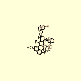 C#Cc1c(F)ccc2cc(O)cc(-c3ncc4c(N5CC6CCC(COC)(C5)N6)nc(OC[C@@]56CCCN5C[C@H](F)C6)nc4c3F)c12